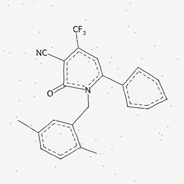 Cc1ccc(C)c(Cn2c(-c3ccccc3)cc(C(F)(F)F)c(C#N)c2=O)c1